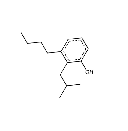 CCCCc1cccc(O)c1CC(C)C